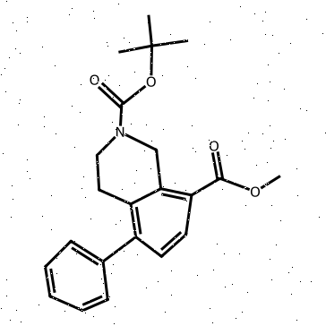 COC(=O)c1ccc(-c2ccccc2)c2c1CN(C(=O)OC(C)(C)C)CC2